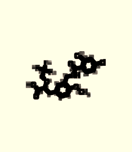 COc1ccc(CC(OCC(F)(F)F)C(=O)O)cc1CNC(=O)c1ccc(Cl)cc1Cl